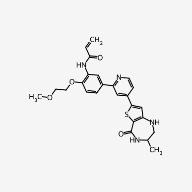 C=CC(=O)Nc1cc(-c2cc(-c3cc4c(s3)C(=O)NC(C)CN4)ccn2)ccc1OCCOC